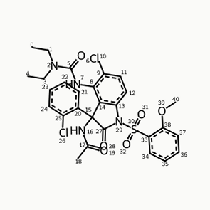 CCN(CC)C(=O)Nc1c(Cl)ccc2c1C(NC(C)=O)(c1ccccc1Cl)C(=O)N2S(=O)(=O)c1ccccc1OC